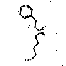 CCCCCCCCCCCCCS(=O)(=O)OCc1ccccc1